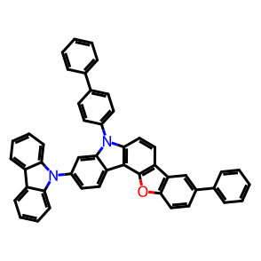 c1ccc(-c2ccc(-n3c4cc(-n5c6ccccc6c6ccccc65)ccc4c4c5oc6ccc(-c7ccccc7)cc6c5ccc43)cc2)cc1